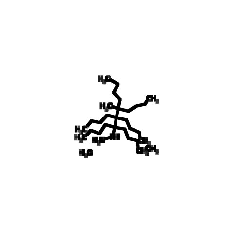 CCCCC(C)(CCCC)C(CCCC)(CCCC)C(CCCC)(CCCC)NN.O.O